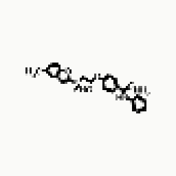 Cc1ccc2oc(N(C=O)CCOc3ccc(C(=O)Nc4ccccc4N)cc3)cc2c1